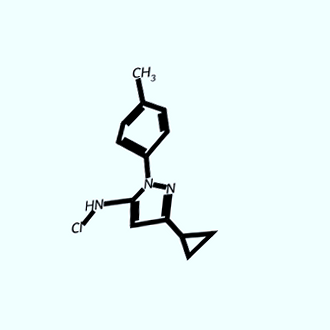 Cc1ccc(-n2nc(C3CC3)cc2NCl)cc1